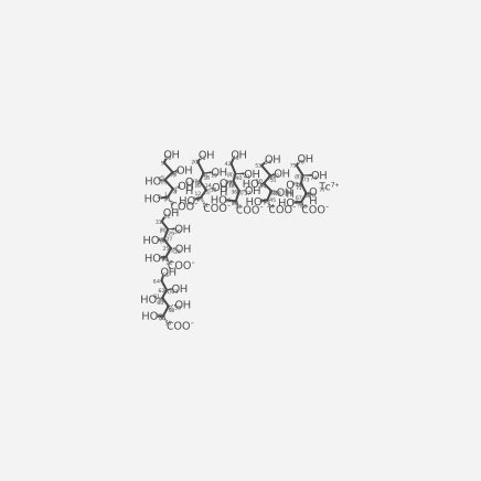 O=C([O-])[C@H](O)[C@@H](O)[C@H](O)[C@H](O)CO.O=C([O-])[C@H](O)[C@@H](O)[C@H](O)[C@H](O)CO.O=C([O-])[C@H](O)[C@@H](O)[C@H](O)[C@H](O)CO.O=C([O-])[C@H](O)[C@@H](O)[C@H](O)[C@H](O)CO.O=C([O-])[C@H](O)[C@@H](O)[C@H](O)[C@H](O)CO.O=C([O-])[C@H](O)[C@@H](O)[C@H](O)[C@H](O)CO.O=C([O-])[C@H](O)[C@@H](O)[C@H](O)[C@H](O)CO.[Tc+7]